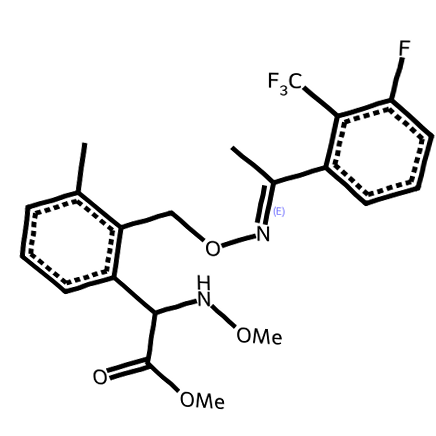 CONC(C(=O)OC)c1cccc(C)c1CO/N=C(\C)c1cccc(F)c1C(F)(F)F